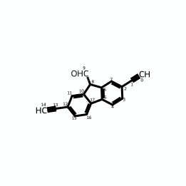 C#Cc1ccc2c(c1)C(C=O)c1cc(C#C)ccc1-2